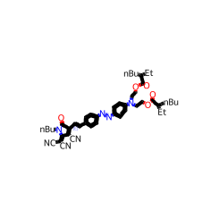 CCCCC(CC)C(=O)OCCN(CCOC(=O)C(CC)CCCC)c1ccc(/N=N/c2ccc(/C=C/C3=C(C#N)C(=C(C#N)C#N)N(CCCC)C3=O)cc2)cc1